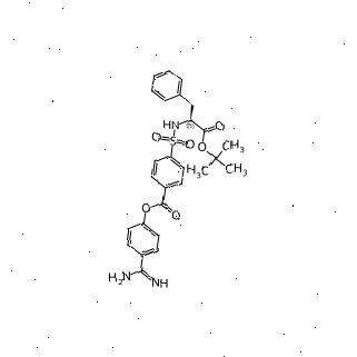 CC(C)(C)OC(=O)[C@H](Cc1ccccc1)NS(=O)(=O)c1ccc(C(=O)Oc2ccc(C(=N)N)cc2)cc1